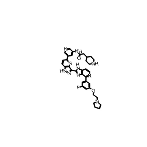 O=C(CC1CCNCC1)Nc1cncc(-c2ccc3[nH]nc(-c4nc5c(-c6cc(F)cc(OCCN7CCCC7)c6)nccc5[nH]4)c3n2)c1